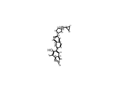 Cc1c(O)c(-c2ccc3cc(N4CCC(NC5CC5)C4)ncc3n2)cc2cn(C)nc12